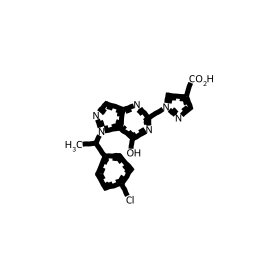 CC(c1ccc(Cl)cc1)n1ncc2nc(-n3cc(C(=O)O)cn3)nc(O)c21